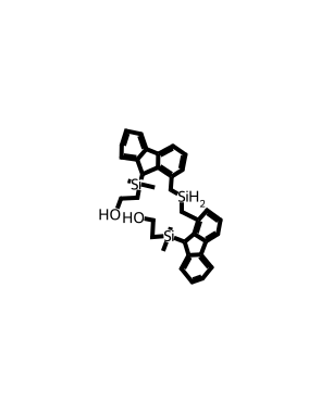 C[Si](C)(CCO)C1c2ccccc2-c2cccc(C[SiH2]Cc3cccc4c3C([Si](C)(C)CCO)c3ccccc3-4)c21